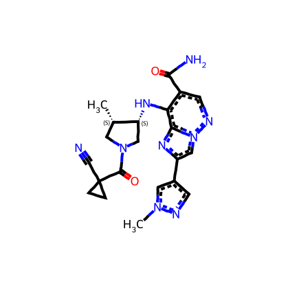 C[C@H]1CN(C(=O)C2(C#N)CC2)C[C@H]1Nc1c(C(N)=O)cnn2cc(-c3cnn(C)c3)nc12